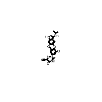 CC(C)Nc1n[nH]c2ccc(Oc3c(Cl)cc(-n4nc(C#N)c(=O)[nH]c4=O)cc3Cl)cc12